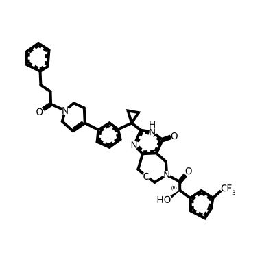 O=C(CCc1ccccc1)N1CC=C(c2cccc(C3(c4nc5c(c(=O)[nH]4)CN(C(=O)[C@H](O)c4cccc(C(F)(F)F)c4)CCC5)CC3)c2)CC1